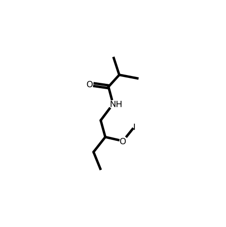 CCC(CNC(=O)C(C)C)OI